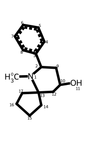 CN1C(c2ccccc2)CC(O)CC12CCCC2